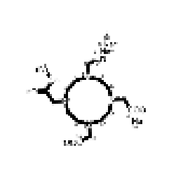 CC(C)(C)OC(=O)CN1CCN(CC#N)CCN(CC(=O)[O-])CCN(CC(=O)[O-])CC1.[Br-].[Na+].[Na+].[Na+]